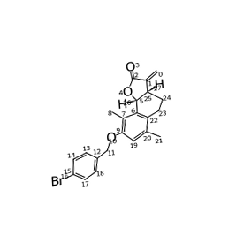 C=C1C(=O)O[C@H]2c3c(C)c(OCc4ccc(Br)cc4)cc(C)c3CC[C@@H]12